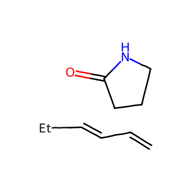 C=CC=CCC.O=C1CCCN1